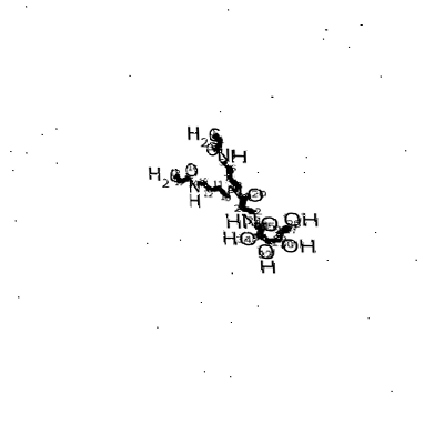 C=CC(=O)NCCCCN(CCCCNC(=O)C=C)C(=O)CCNC1OC(CO)C(O)C(O)C1O